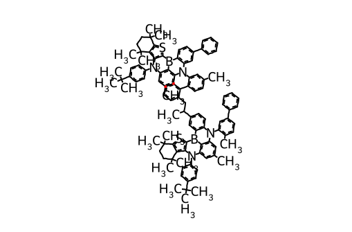 Cc1ccc(-c2ccccc2CC(C)c2ccc3c(c2)B2c4sc5c(c4N(c4ccc(C(C)(C)C)cc4)c4cc(C)cc(c42)N3c2cc(-c3ccccc3)ccc2C)C(C)(C)CCC5(C)C)c(N2c3cc(-c4ccccc4)ccc3B3c4sc5c(c4N(c4ccc(C(C)(C)C)cc4)c4cc(C)cc2c43)C(C)(C)CCC5(C)C)c1